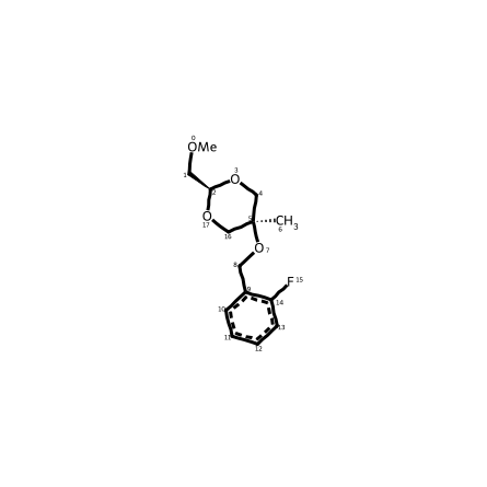 COC[C@H]1OC[C@@](C)(OCc2ccccc2F)CO1